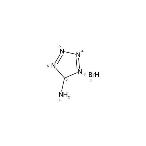 Br.NC1N=NN=N1